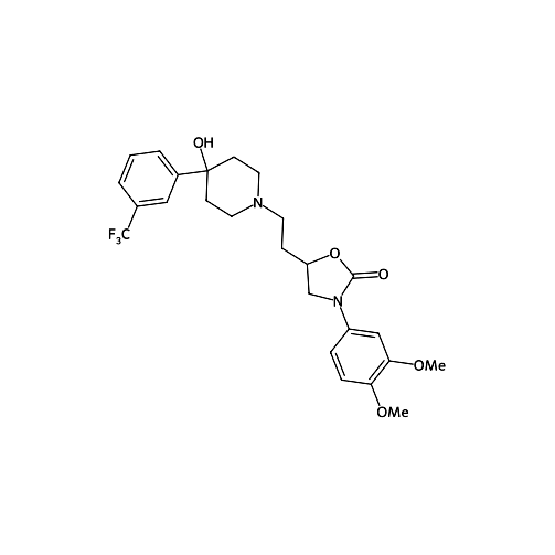 COc1ccc(N2CC(CCN3CCC(O)(c4cccc(C(F)(F)F)c4)CC3)OC2=O)cc1OC